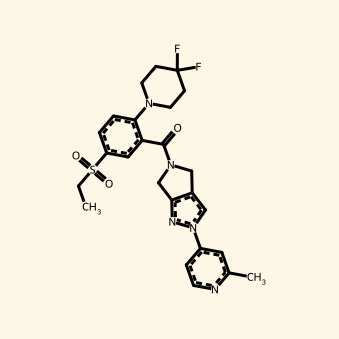 CCS(=O)(=O)c1ccc(N2CCC(F)(F)CC2)c(C(=O)N2Cc3cn(-c4ccnc(C)c4)nc3C2)c1